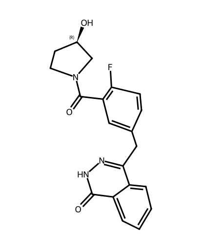 O=C(c1cc(Cc2n[nH]c(=O)c3ccccc23)ccc1F)N1CC[C@@H](O)C1